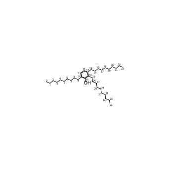 CCCCCCCCCCc1ccc(CCCCCCCCCC)c(CCCCCCCCCC)c1O